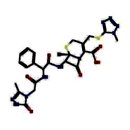 Cc1n[nH]c(=O)n1CC(=O)NC(C(=O)NC1C(=O)N2C(C(=O)O)=C(CSc3nnnn3C)CS[C@@H]12)c1ccccc1